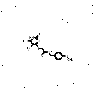 COc1ccc(CNC(=O)CSc2nc(=O)[nH]c(C)c2C)cc1